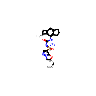 COC[C@@H]1Cn2ncc([S@](N)(=O)=NC(=O)Nc3c4c(cc5c3[C@H](C)C5)CCC4)c2O1